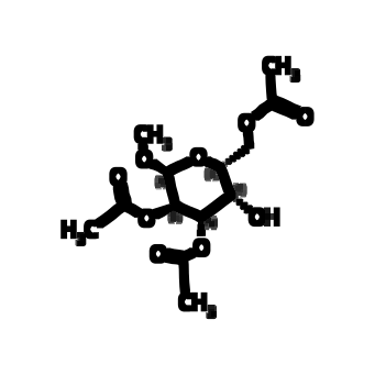 CO[C@H]1O[C@H](COC(C)=O)[C@H](O)[C@H](OC(C)=O)[C@H]1OC(C)=O